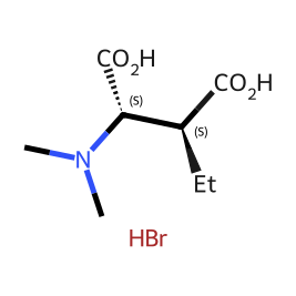 Br.CC[C@H](C(=O)O)[C@@H](C(=O)O)N(C)C